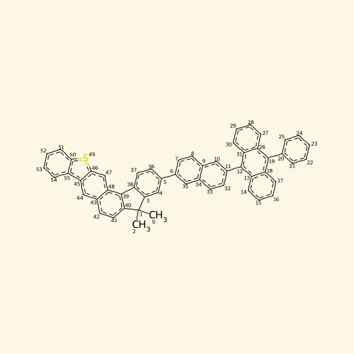 CC1(C)c2cc(-c3ccc4cc(-c5c6ccccc6c(-c6ccccc6)c6ccccc56)ccc4c3)ccc2-c2c1ccc1cc3c(cc21)sc1ccccc13